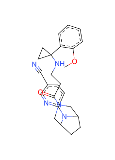 COc1ccccc1C1(NCCC(=O)N2CC3CCC(C2)N3c2ccc(C#N)cn2)CC1